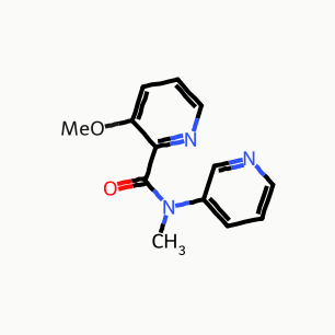 COc1cccnc1C(=O)N(C)c1cccnc1